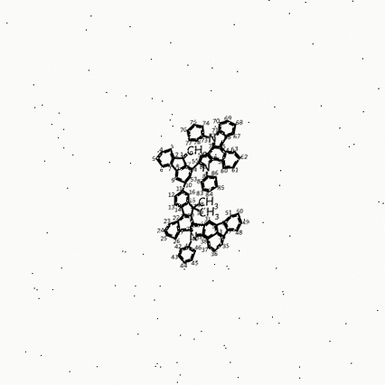 C=C1c2ccccc2-c2cc(-c3ccc4c(c3)C(C)(C)c3c-4c4ccccc4c4c3c3cc5c6c(cccc6c3n4-c3ccccc3)-c3ccccc3-5)cc(-c3cc4c(c5ccccc5c5c6ccccc6n(-c6ccccc6)c45)n3-c3ccccc3)c21